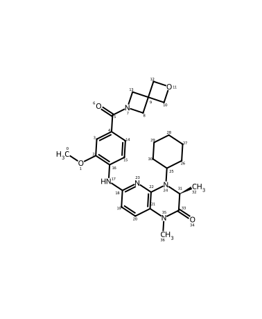 COc1cc(C(=O)N2CC3(COC3)C2)ccc1Nc1ccc2c(n1)N(C1CCCCC1)[C@@H](C)C(=O)N2C